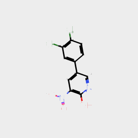 O=[N+]([O-])c1cc(-c2ccc(Cl)c(Cl)c2)cnc1O